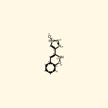 [O-][NH+]1C=C(C2=Cc3ccccc3ON2)N=N1